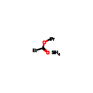 CCC(=O)OC(C)C.[SiH4]